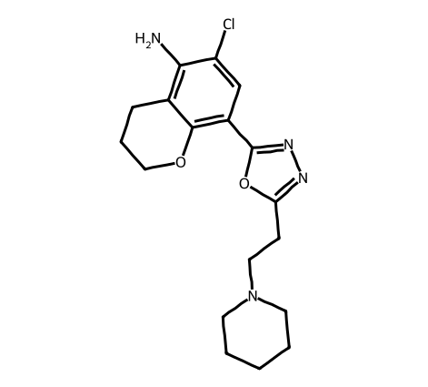 Nc1c(Cl)cc(-c2nnc(CCN3CCCCC3)o2)c2c1CCCO2